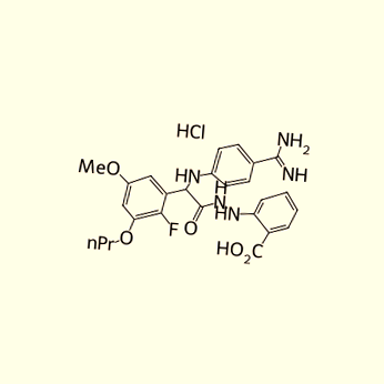 CCCOc1cc(OC)cc(C(Nc2ccc(C(=N)N)cc2)C(=O)NNc2ccccc2C(=O)O)c1F.Cl